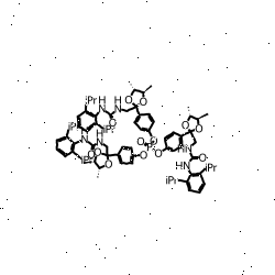 CC(C)c1cccc(C(C)C)c1NC(=O)NCC1(c2ccc(OP(=O)(Oc3ccc(C4(CNC(=O)Nc5c(C(C)C)cccc5C(C)C)O[C@H](C)[C@@H](C)O4)cc3)Oc3ccc(C4(CNC(=O)Nc5c(C(C)C)cccc5C(C)C)O[C@H](C)[C@@H](C)O4)cc3)cc2)O[C@H](C)[C@@H](C)O1